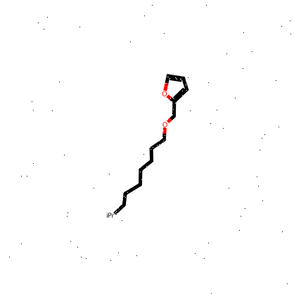 CC(C)CCCCCCCOCc1ccco1